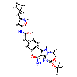 CC(C)n1nc(-c2ccc(CC(=O)Nc3cc(CC4(C)CCC4)no3)cc2)c(C(N)=O)c1NC(=O)OC(C)(C)C